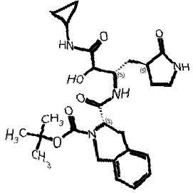 CC(C)(C)OC(=O)N1Cc2ccccc2C[C@H]1C(=O)N[C@@H](C[C@@H]1CCNC1=O)C(O)C(=O)NC1CC1